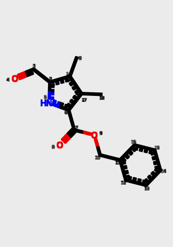 Cc1c(C=O)[nH]c(C(=O)OCc2ccccc2)c1C